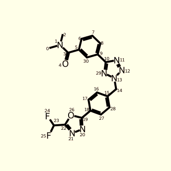 CN(C)C(=O)c1cccc(-c2nnn(Cc3ccc(-c4nnc(C(F)F)o4)cc3)n2)c1